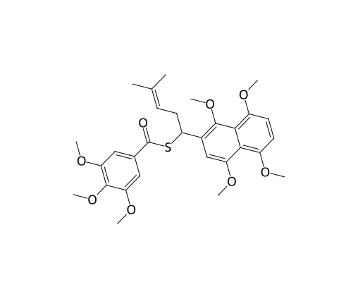 COc1cc(C(=O)SC(CC=C(C)C)c2cc(OC)c3c(OC)ccc(OC)c3c2OC)cc(OC)c1OC